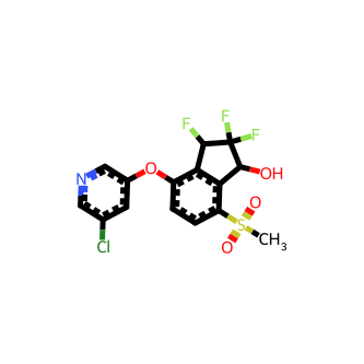 CS(=O)(=O)c1ccc(Oc2cncc(Cl)c2)c2c1C(O)C(F)(F)C2F